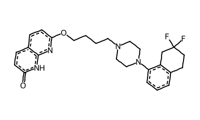 O=c1ccc2ccc(OCCCCN3CCN(c4cccc5c4CC(F)(F)CC5)CC3)nc2[nH]1